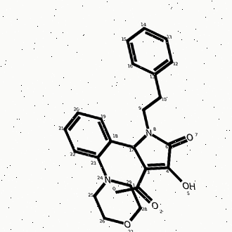 CC(=O)C1=C(O)C(=O)N(CCc2ccccc2)C1c1ccccc1N1CCOCC1